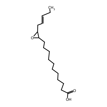 CCC=CCC1OC1CCCCCCCCCCC(=O)O